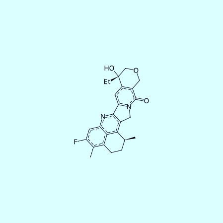 CC[C@@]1(O)COCc2c1cc1n(c2=O)Cc2c-1nc1cc(F)c(C)c3c1c2[C@@H](C)CC3